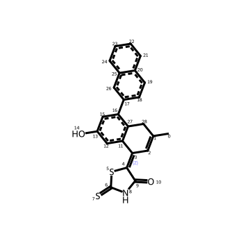 CC1=C/C(=C2/SC(=S)NC2=O)c2cc(O)cc(-c3ccc4ccccc4c3)c2C1